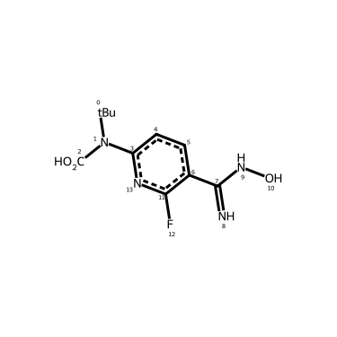 CC(C)(C)N(C(=O)O)c1ccc(C(=N)NO)c(F)n1